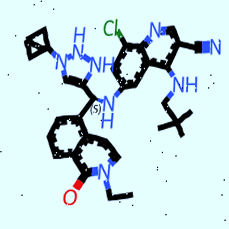 CCn1ccc2c([C@H](Nc3cc(Cl)c4ncc(C#N)c(NCC(C)(C)C)c4c3)C3=CN(C45CC(C4)C5)NN3)cccc2c1=O